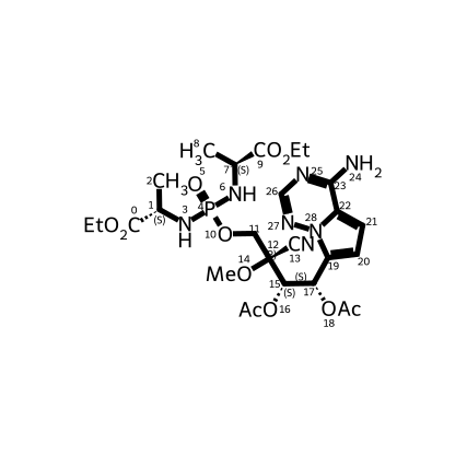 CCOC(=O)[C@H](C)NP(=O)(N[C@@H](C)C(=O)OCC)OC[C@@](C#N)(OC)[C@@H](OC(C)=O)[C@@H](OC(C)=O)c1ccc2c(N)ncnn12